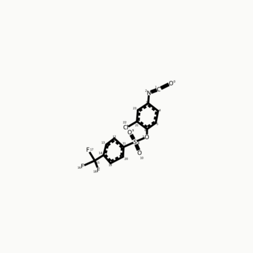 O=C=Nc1ccc(OS(=O)(=O)c2ccc(C(F)(F)F)cc2)c(Cl)c1